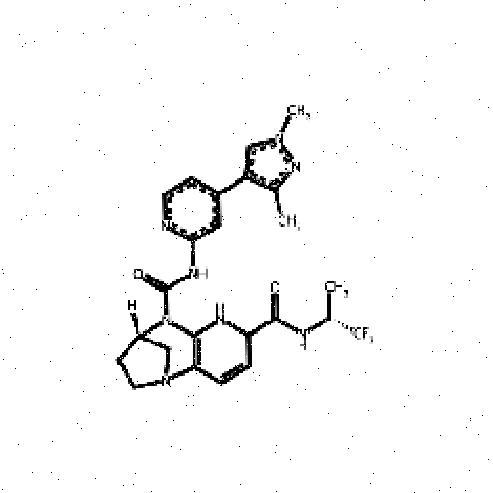 Cc1nn(C)cc1-c1ccnc(NC(=O)N2C3=C(C=CC(C(=O)N[C@H](C)C(F)(F)F)N3)N3CC[C@H]2C3)c1